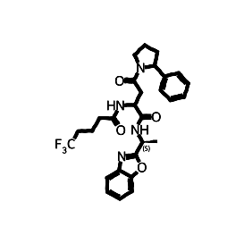 C[C@H](NC(=O)C(CC(=O)N1CCCC1c1ccccc1)NC(=O)CCCC(F)(F)F)c1nc2ccccc2o1